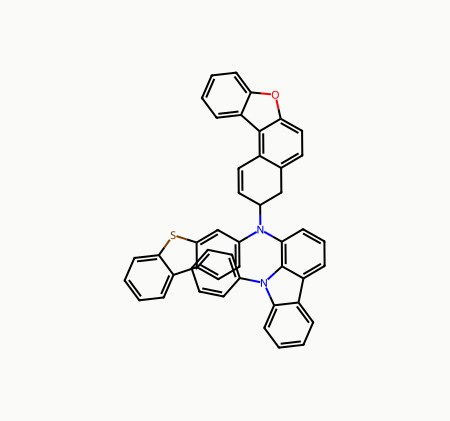 C1=CC(N(c2ccc3c(c2)sc2ccccc23)c2cccc3c4ccccc4n(-c4ccccc4)c23)Cc2ccc3oc4ccccc4c3c21